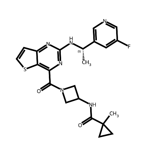 C[C@H](Nc1nc(C(=O)N2CC(NC(=O)C3(C)CC3)C2)c2sccc2n1)c1cncc(F)c1